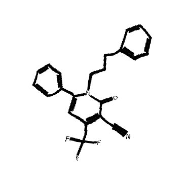 N#Cc1c(C(F)(F)F)cc(-c2ccccc2)n(CCCc2ccccc2)c1=O